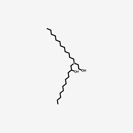 CCCCCCCCCCCCN(CCO)CC(O)CCCCCCCCCC